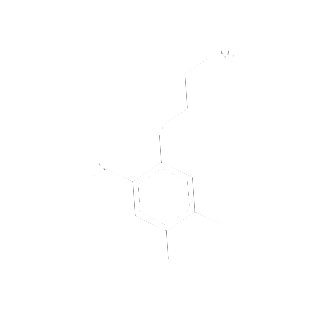 COCCOc1cc(Cl)c(Cl)cc1[N+](=O)[O-]